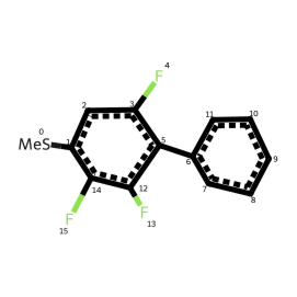 CSc1cc(F)c(-c2ccccc2)c(F)c1F